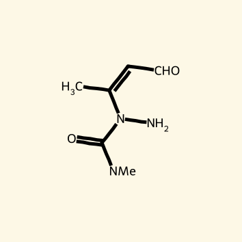 CNC(=O)N(N)/C(C)=C\C=O